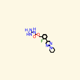 N=C(N)NC(=O)OCc1cccc(-c2cnc(N3CCCCC3)nc2)c1F